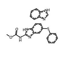 COC(=O)Nc1nc2cc(Sc3ccccc3)ccc2[nH]1.c1ccc2[nH]cnc2c1